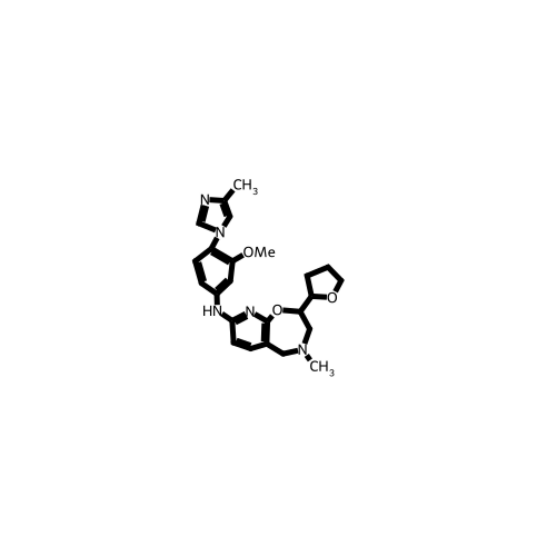 COc1cc(Nc2ccc3c(n2)OC(C2CCCO2)CN(C)C3)ccc1-n1cnc(C)c1